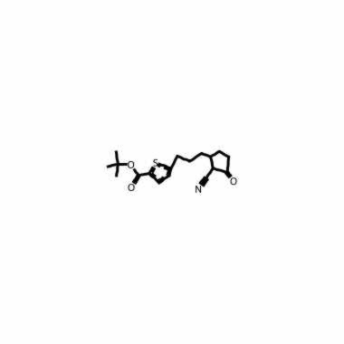 CC(C)(C)OC(=O)c1ccc(CCCC2CCC(=O)C2C#N)s1